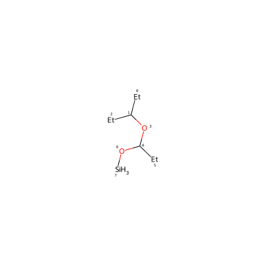 CCC(CC)OC(CC)O[SiH3]